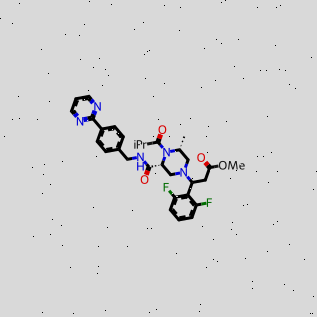 COC(=O)CC(c1c(F)cccc1F)N1C[C@@H](C)N(C(=O)C(C)C)[C@@H](C(=O)NCc2ccc(-c3ncccn3)cc2)C1